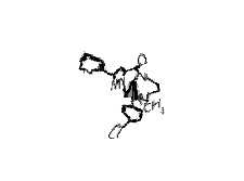 CN1CCN2C(=O)c3cc(-c4ccccn4)nn3CC12c1ccc(Cl)cc1